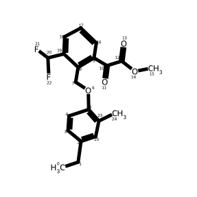 CCc1ccc(OCc2c(C(=O)C(=O)OC)cccc2C(F)F)c(C)c1